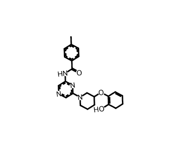 Cc1ccc(C(=O)Nc2cncc(N3CCCC(OC4=C(O)CCC=C4)C3)n2)cc1